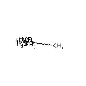 CCCCCCCCCCCCCCCCCCCCC(C(N)=O)C(N(C)C)C(C)(C)C